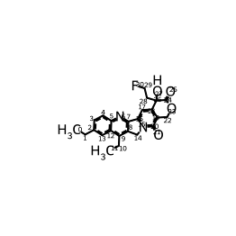 CCc1ccc2nc3c(c(CC)c2c1)Cn1c-3cc2c(c1=O)COC(=O)C2(O)CCF